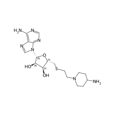 Nc1ncnc2c1ncn2[C@@H]1O[C@H](CSCCN2CCC(N)CC2)[C@@H](O)[C@H]1O